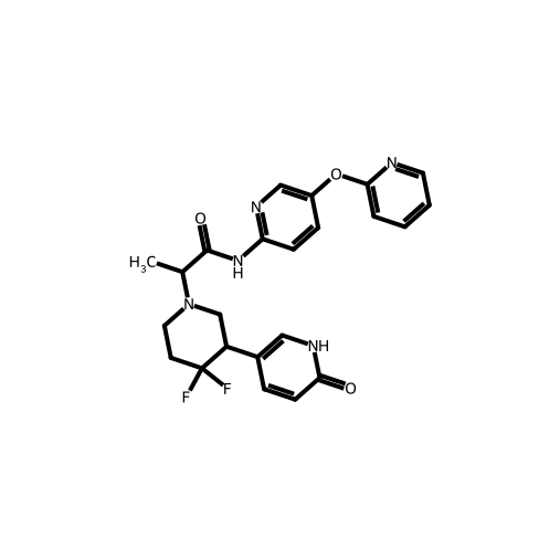 CC(C(=O)Nc1ccc(Oc2ccccn2)cn1)N1CCC(F)(F)C(c2ccc(=O)[nH]c2)C1